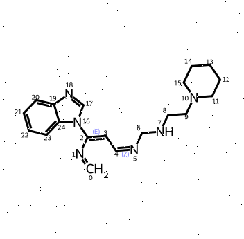 C=N/C(=C\C=N/CNCCN1CCCCC1)n1cnc2ccccc21